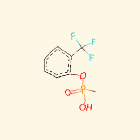 CP(=O)(O)Oc1ccccc1C(F)(F)F